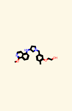 COc1nccc2c(NC3CCN(Cc4ccc(C)c(OCCO)c4)C3)cccc12